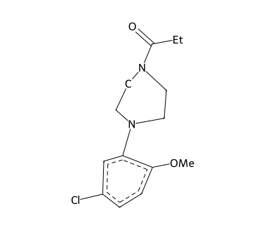 CCC(=O)N1CCN(c2cc(Cl)ccc2OC)CC1